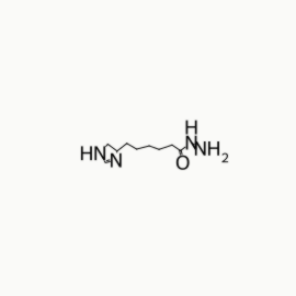 NNC(=O)CCCCCC1CNC=N1